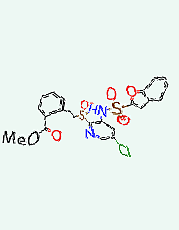 COC(=O)c1ccccc1C[S+]([O-])c1ncc(Cl)cc1NS(=O)(=O)c1cc2ccccc2o1